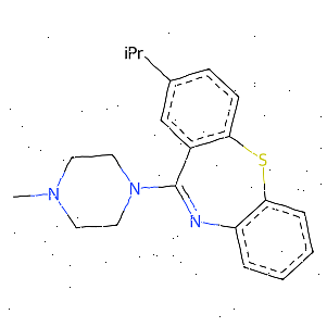 CC(C)c1ccc2c(c1)C(N1CCN(C)CC1)=Nc1ccccc1S2